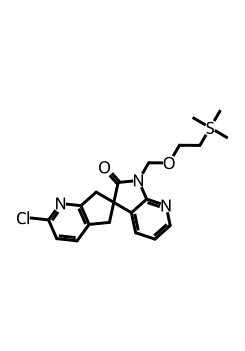 CS(C)(C)CCOCN1C(=O)C2(Cc3ccc(Cl)nc3C2)c2cccnc21